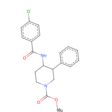 CC(C)(C)OC(=O)N1CCC(NC(=O)c2ccc(Cl)cc2)C(c2ccccc2)C1